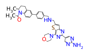 CC(=O)N1c2ccc(-c3ccc(CNCc4cc5nc(-c6cnc(N)nc6)nc(N6CCOCC6)c5s4)cc3)cc2CC[C@@H]1C